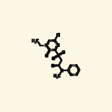 CCn1cc(Cl)nc(S(=O)(=O)CC(=O)N(C)c2ccccc2)c1=O